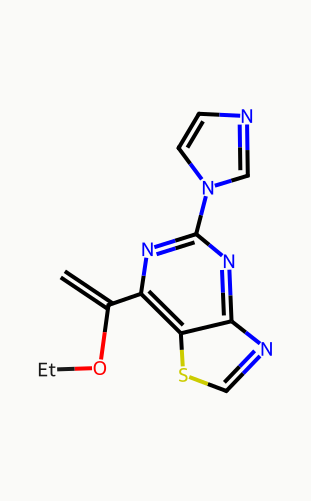 C=C(OCC)c1nc(-n2ccnc2)nc2ncsc12